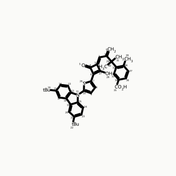 C=C(/C=C1/C(=O)C(c2ccc(-n3c4ccc(C(C)(C)C)cc4c4cc(C(C)(C)C)ccc43)s2)=C1O)C(C)(C)c1cc(C(=O)O)ccc1C